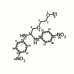 CCOCCOCC(Nc1ccc([N+](=O)[O-])cc1)Nc1ccc([N+](=O)[O-])cc1